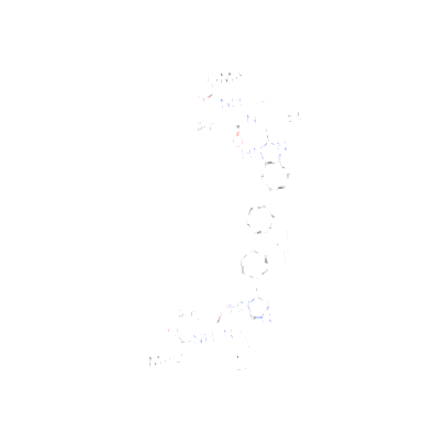 CC[C@H]1CCN(C(=O)[C@@H](NC(=O)OC)C(C)C)[C@@H]1c1nc2ccc(-c3ccc4c(c3)C(F)(F)c3cc(-c5cnc([C@@H]6CC7(CC7)CN6C(=O)[C@@H](NC(=O)OC)C(C)C)[nH]5)ccc3-4)cc2[nH]1